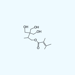 CC(C)=C(C)C(=O)OCC(C)C(CO)(CO)CO